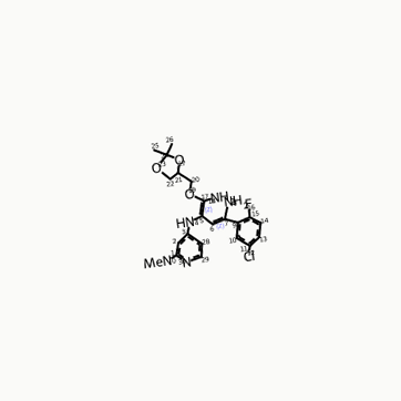 CNc1cc(NC(/C=C(\N)c2cc(Cl)ccc2F)=C(/N)OCC2COC(C)(C)O2)ccn1